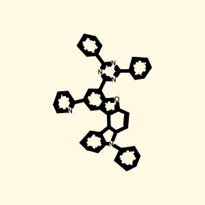 C1=CC2C(c3ccccc3N2c2ccccc2)c2c1oc1c(-c3nc(-c4ccccc4)nc(-c4ccccc4)n3)cc(-c3ccccn3)cc21